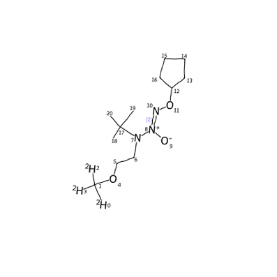 [2H]C([2H])([2H])OCCN(/[N+]([O-])=N/OC1CCCC1)C(C)(C)C